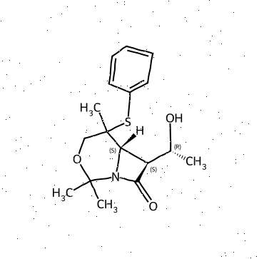 C[C@@H](O)[C@H]1C(=O)N2[C@@H]1C(C)(Sc1ccccc1)COC2(C)C